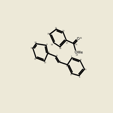 C(=Cc1ccccc1)c1ccccc1.COC(=O)c1ccccc1